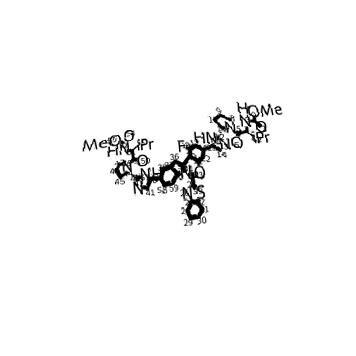 COC(=O)N[C@H](C(=O)N1CCC[C@H]1c1ncc(-c2cc(F)c3c(c2)OC(c2nc4ccccc4s2)n2c-3cc3cc(-c4cnc([C@@H]5CCCN5C(=O)[C@@H](NC(=O)OC)C(C)C)[nH]4)ccc32)[nH]1)C(C)C